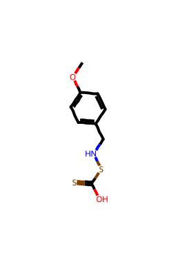 COc1ccc(CNSC(O)=S)cc1